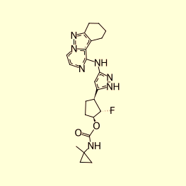 CC1(NC(=O)O[C@H]2CC[C@@H](c3cc(Nc4nccn5nc6c(c45)CCCC6)n[nH]3)[C@@H]2F)CC1